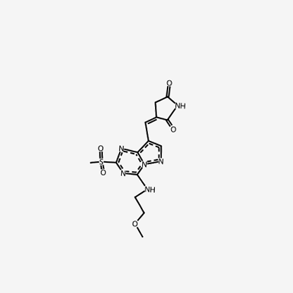 COCCNc1nc(S(C)(=O)=O)nc2c(C=C3CC(=O)NC3=O)cnn12